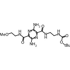 COCCNC(=O)c1nc(N)c(C(=O)NCCNC(=O)OC(C)(C)C)nc1N